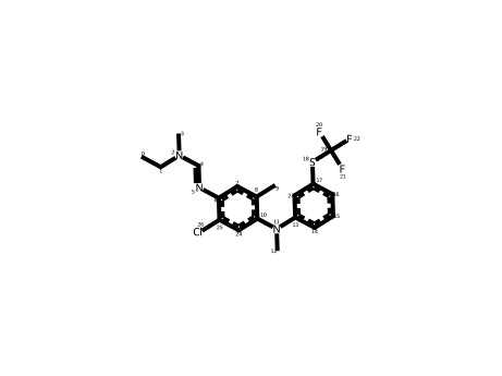 CCN(C)C=Nc1cc(C)c(N(C)c2cccc(SC(F)(F)F)c2)cc1Cl